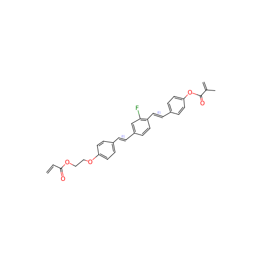 C=CC(=O)OCCOc1ccc(/C=C/c2ccc(/C=C/c3ccc(OC(=O)C(=C)C)cc3)c(F)c2)cc1